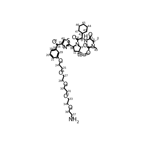 C[C@@H](C(=O)N[C@H](C(=O)N1CCC[C@H]1c1nc(C(=O)c2cccc(OCCOCCOCCOCCOCCN)c2)cs1)C1CCCCC1)N(C)C(=O)OC(C)(C)C